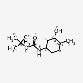 C[C@H]1CCC(NC(=O)OC(C)(C)C)C[C@@H]1O